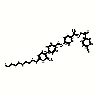 CCCCCCCCCCC1=CC=C(c2ccc(C=Nc3ccc(C(=O)OCC(C)C4CC=C(C)CC4)cc3)cc2)C(=O)C1